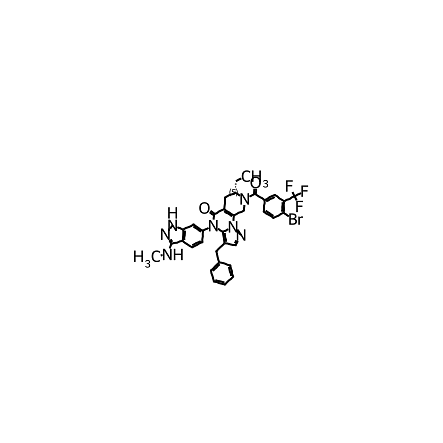 CC[C@H]1Cc2c(n3ncc(Cc4ccccc4)c3n(-c3ccc4c(NC)n[nH]c4c3)c2=O)CN1C(=O)c1ccc(Br)c(C(F)(F)F)c1